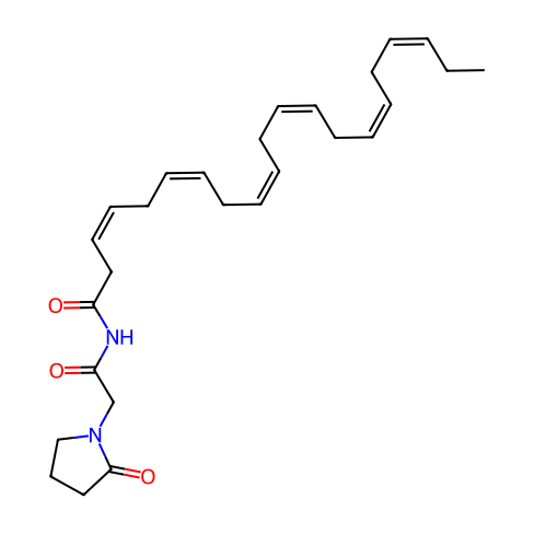 CC/C=C\C/C=C\C/C=C\C/C=C\C/C=C\C/C=C\CC(=O)NC(=O)CN1CCCC1=O